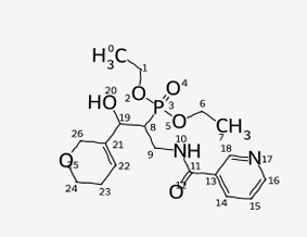 CCOP(=O)(OCC)C(CNC(=O)c1cccnc1)C(O)C1=CCCOC1